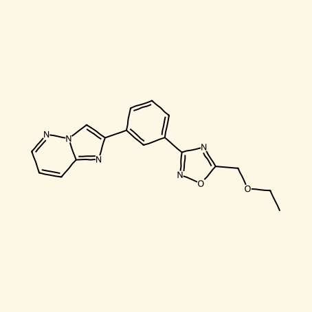 CCOCc1nc(-c2cccc(-c3cn4ncccc4n3)c2)no1